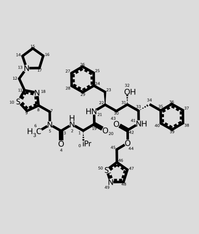 CC(C)[C@H](NC(=O)N(C)Cc1csc(CN2CCCC2)n1)C(=O)N[C@@H](Cc1ccccc1)C[C@H](O)[C@H](Cc1ccccc1)NC(=O)OCc1ccns1